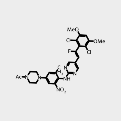 COc1cc(OC)c(Cl)c(/C(F)=C/c2cnc(Nc3c(C)cc(N4CCN(C(C)=O)CC4)cc3[N+](=O)[O-])nc2)c1Cl